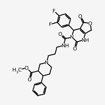 COC(=O)C1CN(CCCNC(=O)N2C(=O)NC3=C(C(=O)OC3)C2c2ccc(F)c(F)c2)CCC1c1ccccc1